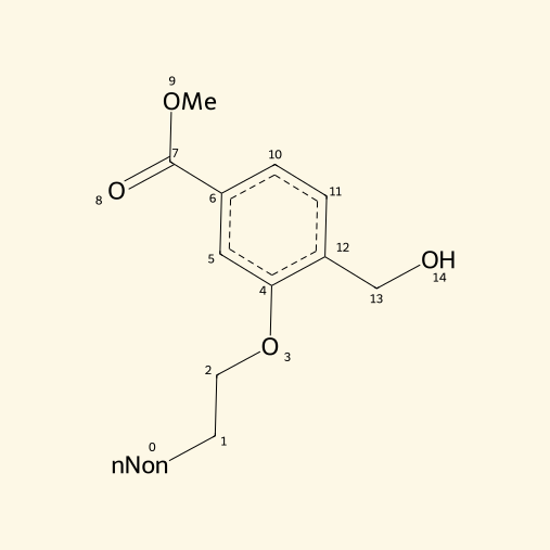 CCCCCCCCCCCOc1cc(C(=O)OC)ccc1CO